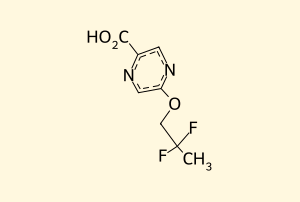 CC(F)(F)COc1cnc(C(=O)O)cn1